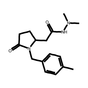 Cc1ccc(CN2C(=O)CCC2CC(=O)NN(C)C)cc1